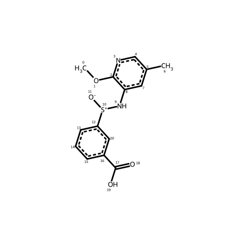 COc1ncc(C)cc1N[S+]([O-])c1cccc(C(=O)O)c1